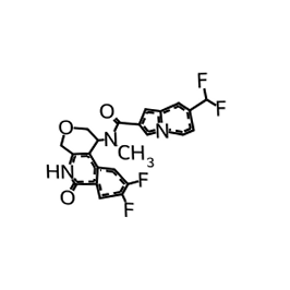 CN(C(=O)c1cc2cc(C(F)F)ccn2c1)C1COCc2[nH]c(=O)c3cc(F)c(F)cc3c21